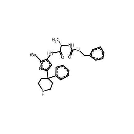 C[C@H](NC(=O)OCc1ccccc1)C(=O)Nc1cc(C2(c3ccccc3)CCNCC2)nn1C(C)(C)C